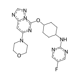 Fc1cnc(NC2CCC(Oc3nc(N4CCOCC4)cc4ncnn34)CC2)nc1